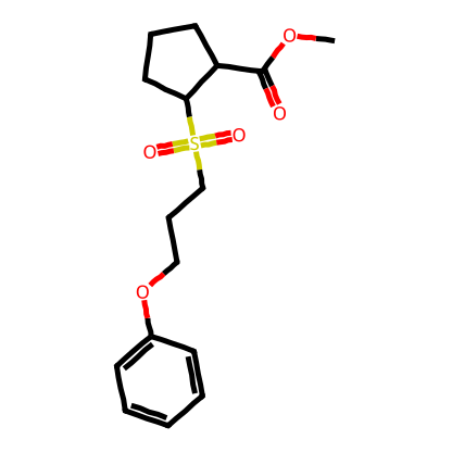 COC(=O)C1CCCC1S(=O)(=O)CCCOc1ccccc1